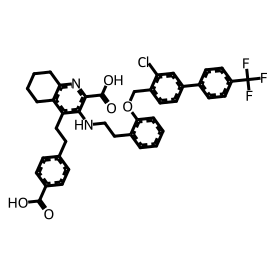 O=C(O)c1ccc(CCc2c3c(nc(C(=O)O)c2NCCc2ccccc2OCc2ccc(-c4ccc(C(F)(F)F)cc4)cc2Cl)CCCC3)cc1